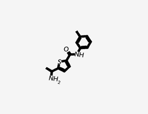 Cc1cccc(NC(=O)c2ccc(C(C)N)s2)c1